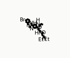 C=CC(=O)Nc1cc2c(Nc3ccc(Br)cc3F)ncnc2cc1OCCNC(=O)CCN(CC)CC